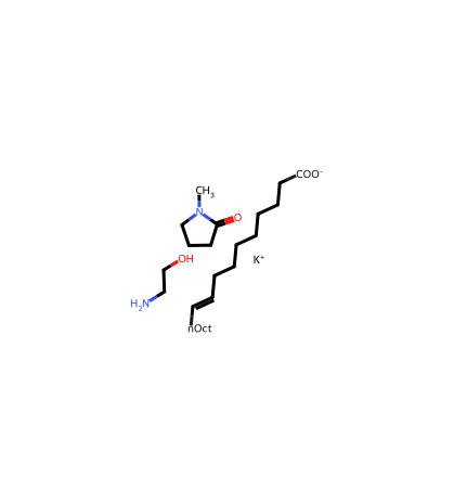 CCCCCCCCC=CCCCCCCCC(=O)[O-].CN1CCCC1=O.NCCO.[K+]